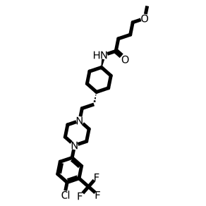 COCCCC(=O)N[C@H]1CC[C@H](CCN2CCN(c3ccc(Cl)c(C(F)(F)F)c3)CC2)CC1